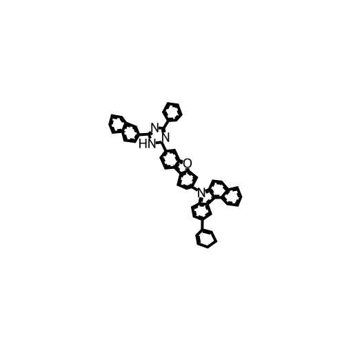 C1=CC(c2ccc3c(c2)c2c4ccccc4ccc2n3-c2ccc3c(c2)oc2cc(C4N=C(c5ccccc5)N=C(c5ccc6ccccc6c5)N4)ccc23)=CCC1